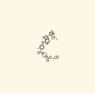 Cc1cc(Oc2nccn3c(-c4conc4C(F)(F)F)cnc23)ccc1C(=O)N1CCN(C(=O)OCC2COC2)CC1